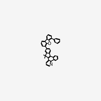 CC1(C)c2cc(-c3cccc4c3oc3c(-c5ccccc5)cccc34)ccc2-c2c1c1cccnc1c1ccccc21